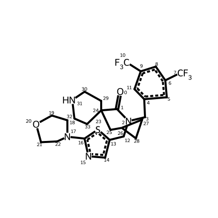 O=C(N(Cc1cc(C(F)(F)F)cc(C(F)(F)F)c1)Cc1cnc(N2CCOCC2)s1)C1(CC2CC2)CCNCC1